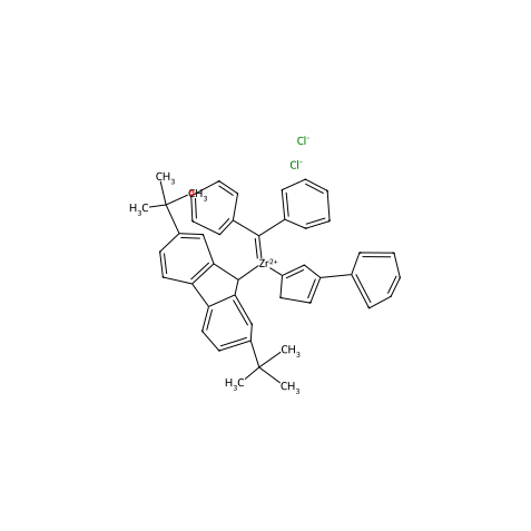 CC(C)(C)c1ccc2c(c1)[CH]([Zr+2]([C]1=CC(c3ccccc3)=CC1)=[C](c1ccccc1)c1ccccc1)c1cc(C(C)(C)C)ccc1-2.[Cl-].[Cl-]